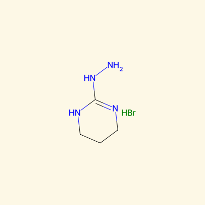 Br.NNC1=NCCCN1